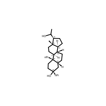 CCC[C@@]1(O)CC[C@@]2(CCC)[C@H](CC[C@H]3[C@@H]4CC[C@H](C(C)O)[C@@]4(C)CC[C@@H]32)C1